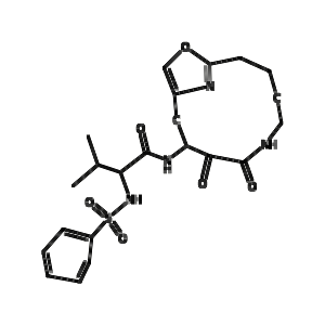 CC(C)C(NS(=O)(=O)c1ccccc1)C(=O)NC1Cc2coc(n2)CCCCNC(=O)C1=O